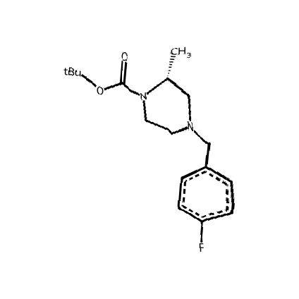 C[C@@H]1CN(Cc2ccc(F)cc2)CCN1C(=O)OC(C)(C)C